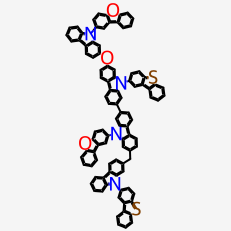 c1ccc2c(c1)oc1ccc(-n3c4ccccc4c4ccc(Oc5ccc6c7ccc(-c8ccc9c%10ccc(Cc%11ccc%12c%13ccccc%13n(-c%13ccc%14sc%15ccccc%15c%14c%13)c%12c%11)cc%10n(-c%10ccc%11oc%12ccccc%12c%11c%10)c9c8)cc7n(-c7ccc8sc9ccccc9c8c7)c6c5)cc43)cc12